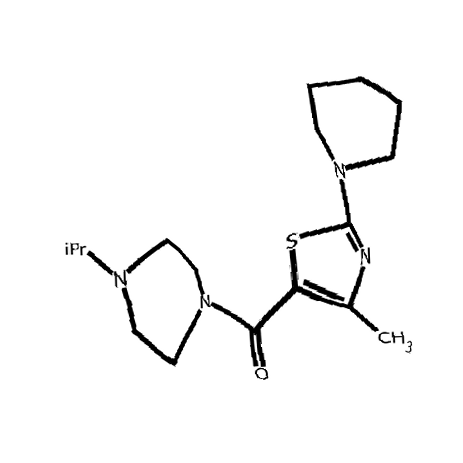 Cc1nc(N2CCCCC2)sc1C(=O)N1CCN(C(C)C)CC1